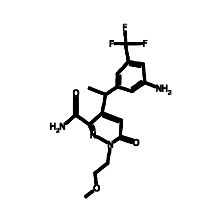 COCCn1nc(C(N)=O)c(C(C)c2cc(N)cc(C(F)(F)F)c2)cc1=O